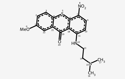 COc1ccc2sc3c([N+](=O)[O-])ccc(NCCN(C)C)c3c(=O)c2c1